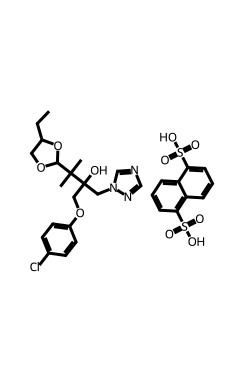 CCC1COC(C(C)(C)C(O)(COc2ccc(Cl)cc2)Cn2cncn2)O1.O=S(=O)(O)c1cccc2c(S(=O)(=O)O)cccc12